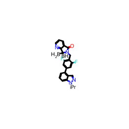 BC1(B)c2ncccc2C(=O)N1Cc1c(F)cc(-c2cccc3c2cnn3C(C)C)cc1F